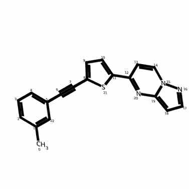 Cc1cccc(C#Cc2ccc(-c3ccn4nccc4n3)s2)c1